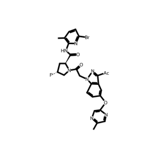 CC(=O)c1nn(CC(=O)N2C[C@H](F)C[C@H]2C(=O)Nc2nc(Br)ccc2C)c2ccc(Oc3cnc(C)cn3)cc12